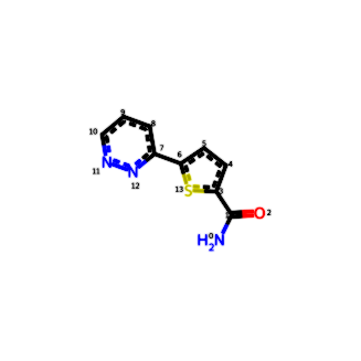 NC(=O)c1ccc(-c2cccnn2)s1